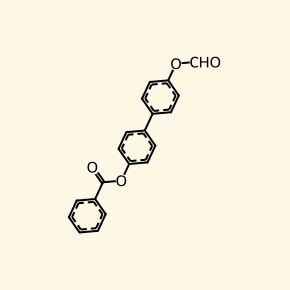 O=COc1ccc(-c2ccc(OC(=O)c3ccccc3)cc2)cc1